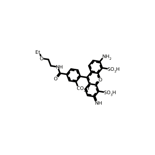 CCOCCNC(=O)c1ccc(-c2c3ccc(=N)c(S(=O)(=O)O)c-3oc3c(S(=O)(=O)O)c(N)ccc23)c(C(=O)O)c1